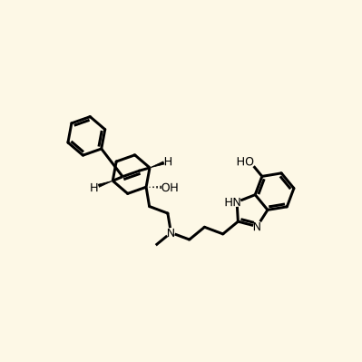 CN(CCCc1nc2cccc(O)c2[nH]1)CC[C@@]1(O)C[C@@H]2CC[C@H]1C=C2c1ccccc1